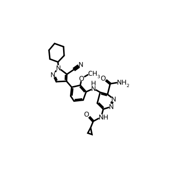 COc1c(Nc2cc(NC(=O)C3CC3)nnc2C(N)=O)cccc1-c1cnn(C2CCCCC2)c1C#N